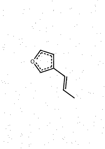 CC=Cc1ccoc1